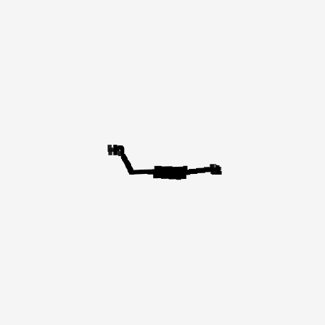 [CH2]CC#CCO